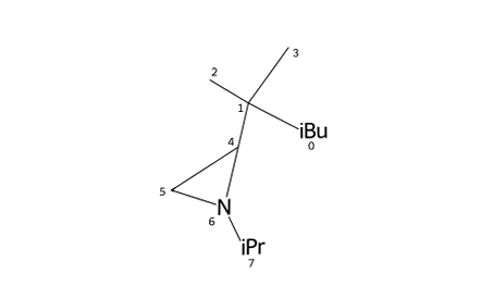 CCC(C)C(C)(C)C1CN1C(C)C